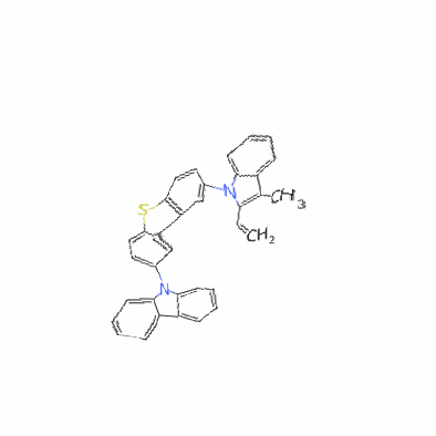 C=Cc1c(C)c2ccccc2n1-c1ccc2sc3ccc(-n4c5ccccc5c5ccccc54)cc3c2c1